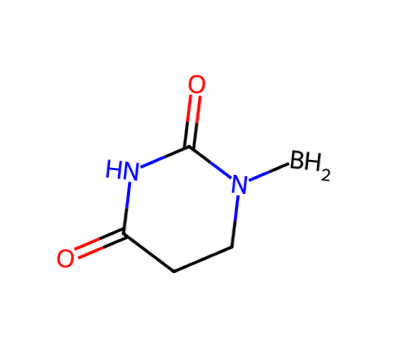 BN1CCC(=O)NC1=O